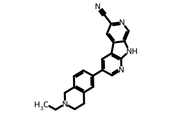 CCN1CCc2cc(-c3cnc4[nH]c5cnc(C#N)cc5c4c3)ccc2C1